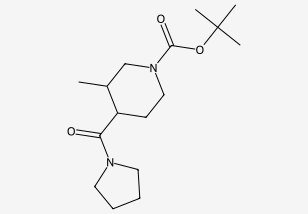 CC1CN(C(=O)OC(C)(C)C)CCC1C(=O)N1CCCC1